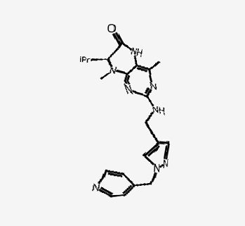 Cc1nc(NCc2cnn(Cc3ccncc3)c2)nc2c1NC(=O)[C@H](C(C)C)N2C